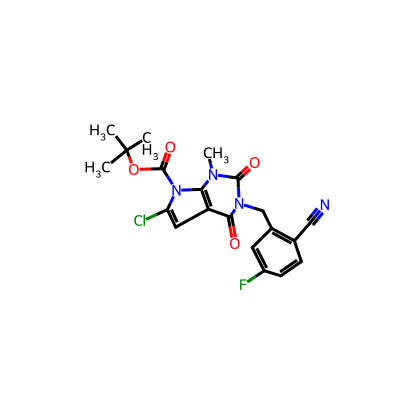 Cn1c(=O)n(Cc2cc(F)ccc2C#N)c(=O)c2cc(Cl)n(C(=O)OC(C)(C)C)c21